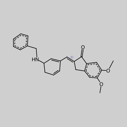 COc1cc2c(cc1OC)C(=O)/C(=C/C1=CC(NCc3ccccc3)CC=C1)C2